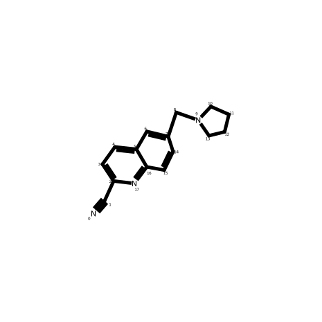 N#Cc1ccc2cc(CN3CCCC3)ccc2n1